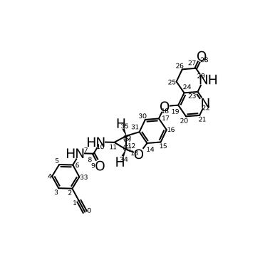 C#Cc1cccc(NC(=O)NC2[C@H]3Oc4ccc(Oc5ccnc6c5CCC(=O)N6)cc4[C@@H]23)c1